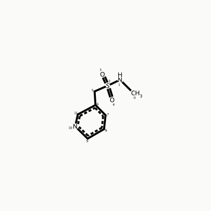 CNS(=O)(=O)Cc1cccnc1